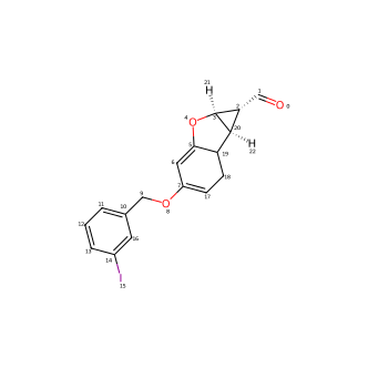 O=C[C@H]1[C@@H]2OC3=CC(OCc4cccc(I)c4)=CCC3[C@H]12